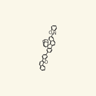 c1ccc2c(c1)ccc1c3ccc(-c4ccc5c(c4)C4(c6c-5ccc5cc(-c7nc8ccccc8o7)ccc65)C5CC6CC(C5)CC4C6)cc3oc21